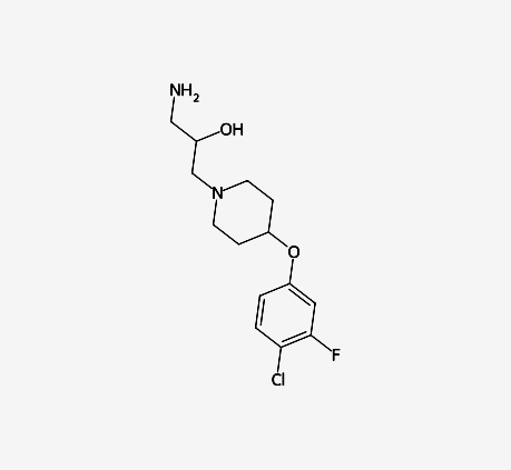 NCC(O)CN1CCC(Oc2ccc(Cl)c(F)c2)CC1